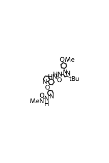 CNC(=O)Nc1cc(Oc2ccc(NC(=O)Nc3cc(C(C)(C)C)nn3-c3ccc(OC)cc3)c3cccnc23)ccn1